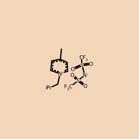 Cc1cc[n+](CC(C)C)cc1.O=S(=O)([N-]S(=O)(=O)C(F)(F)F)C(F)(F)F